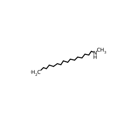 [CH2]CCCCCCCCCCCCCCCNC